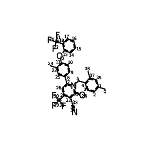 Cc1ccc(Cn2c(-c3ccc(Oc4ccccc4C(F)(F)F)c(C)c3)cc(C(F)(F)F)c(C#N)c2=O)c(C)c1